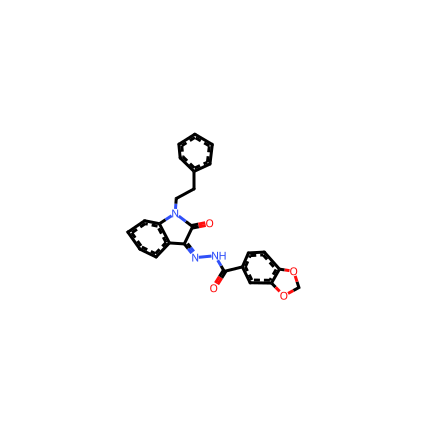 O=C(N/N=C1\C(=O)N(CCc2ccccc2)c2ccccc21)c1ccc2c(c1)OCO2